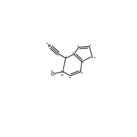 N#CC1c2ccsc2C=CN1Cl